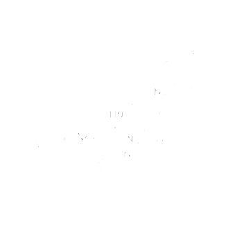 N#Cc1c(C2(c3ccc(C(F)(F)F)cc3)CC2)nn2c(=O)c(CNc3ccccc3)c[nH]c12